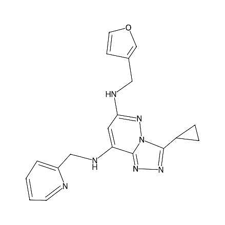 c1ccc(CNc2cc(NCc3ccoc3)nn3c(C4CC4)nnc23)nc1